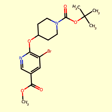 COC(=O)c1cnc(OC2CCN(C(=O)OC(C)(C)C)CC2)c(Br)c1